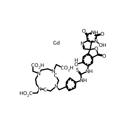 O=C(O)CN1CCN(CC(=O)O)CCN(Cc2ccc(NC(=S)Nc3cc4c(cc3O)C3(C=Nc5c3n(O)c(=O)[nH]c5=O)OC4=O)cc2)CCN(CC(=O)O)CC1.[Gd]